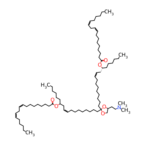 CCCCC/C=C\C/C=C\CCCCCCCC(=O)OC(C/C=C\CCCCCCCCC1(CCCCCCCC/C=C\C[C@@H](CCCCCC)OC(=O)CCCCCCC/C=C\C/C=C\CCCCC)OCC(CCN(C)C)O1)CCCCCC